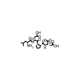 CC(C)C[C@H](N)C(=O)N[C@@H](CC(=O)O)C(=O)N1CCC[C@H]1C(=O)N[C@@H](CC(=O)O)C(=O)O